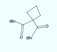 CC(C)(C)C(=O)C1(C(=O)C(C)(C)C)CCC1